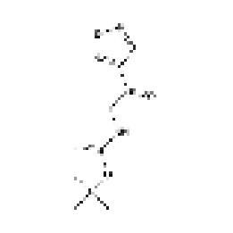 Cc1nsnc1C(=O)CNC(=O)OC(C)(C)C